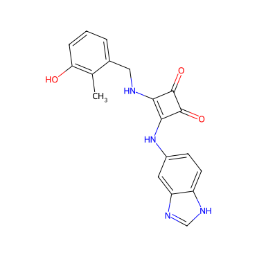 Cc1c(O)cccc1CNc1c(Nc2ccc3[nH]cnc3c2)c(=O)c1=O